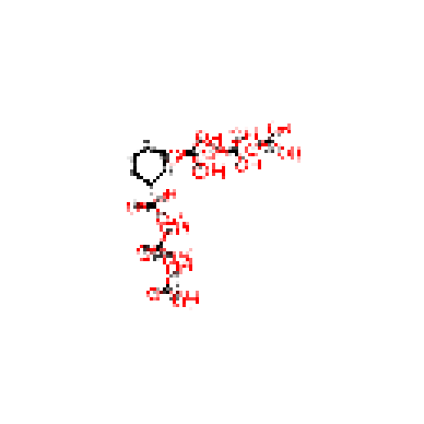 C1CCCCC1.O=C(O)O.O=C(O)O.O=C(O)O.O=C(O)O.O=C(O)O.O=C(O)O